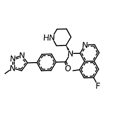 Cc1cc(F)cc2ccnc(N(C(=O)c3ccc(-c4cn(C)nn4)cc3)[C@@H]3CCCNC3)c12